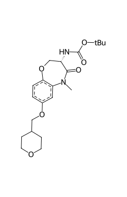 CN1C(=O)[C@@H](NC(=O)OC(C)(C)C)COc2ccc(OCC3CCOCC3)cc21